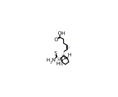 NC(=S)[C@@H]1[C@H](C/C=C\CCC(=O)O)[C@H]2CC[C@@H]1O2